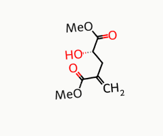 C=C(C[C@H](O)C(=O)OC)C(=O)OC